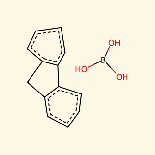 OB(O)O.c1ccc2c(c1)Cc1ccccc1-2